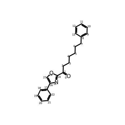 O=C(CCCCCCc1ccccc1)c1nc(-c2ccccc2)co1